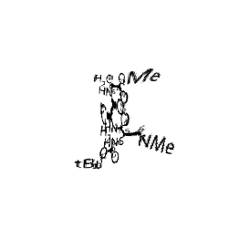 C=C(NC(=O)/C(=C/NC)SNC(=O)OC(C)(C)C)C(=O)NC(=C)C(=O)OC